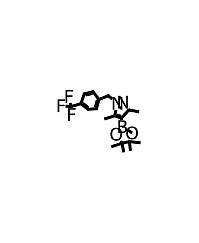 Cc1nn(Cc2ccc(C(F)(F)F)cc2)c(C)c1B1OC(C)(C)C(C)(C)O1